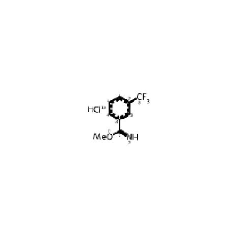 COC(=N)c1cccc(C(F)(F)F)c1.Cl